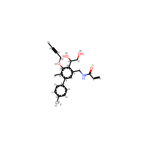 C=CC(=O)NCc1cc(-c2ccc(C(F)(F)F)cc2)c(C)c(OCC#CC)c1C(O)CO